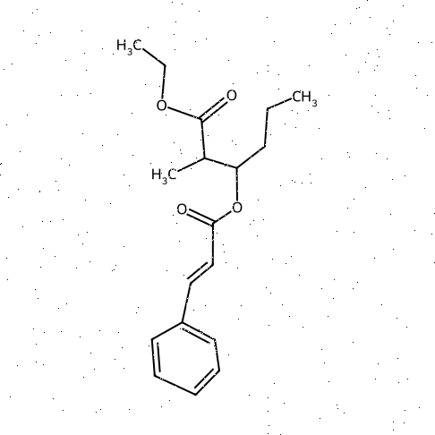 CCCC(OC(=O)/C=C/c1ccccc1)C(C)C(=O)OCC